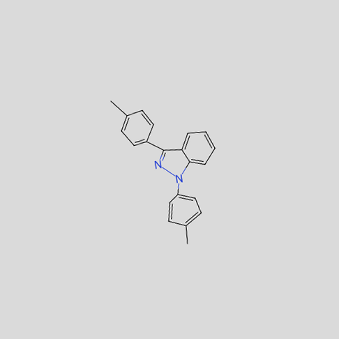 Cc1ccc(-c2nn(-c3ccc(C)cc3)c3ccccc23)cc1